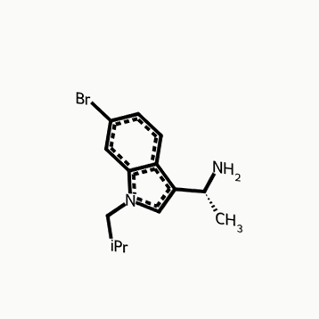 CC(C)Cn1cc([C@@H](C)N)c2ccc(Br)cc21